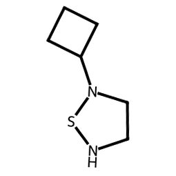 C1CC(N2CCNS2)C1